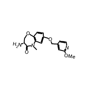 COc1cc(COc2ccc3c(c2)N(C)C(=O)[C@@H](N)CO3)ccn1